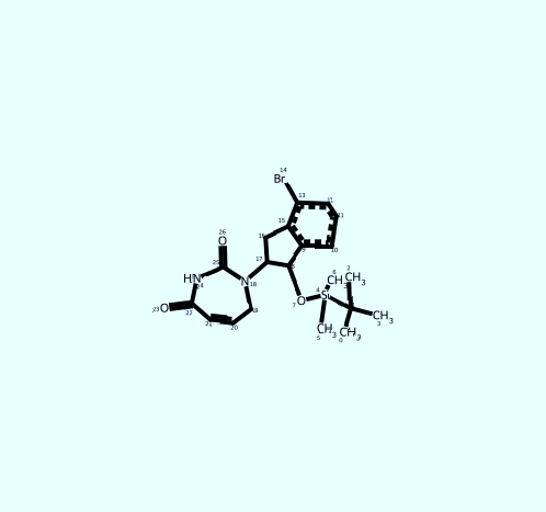 CC(C)(C)[Si](C)(C)OC1c2cccc(Br)c2CC1N1CC=CC(=O)NC1=O